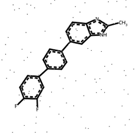 Cc1nc2ccc(-c3ccc(-c4ccc(F)c(F)c4)cc3)cc2[nH]1